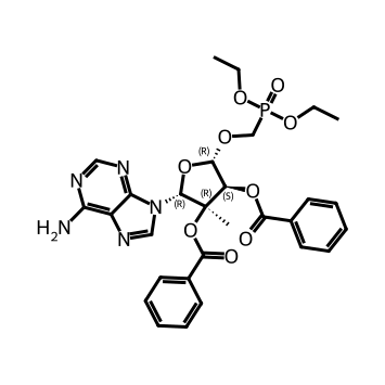 CCOP(=O)(CO[C@H]1O[C@@H](n2cnc3c(N)ncnc32)[C@](C)(OC(=O)c2ccccc2)[C@@H]1OC(=O)c1ccccc1)OCC